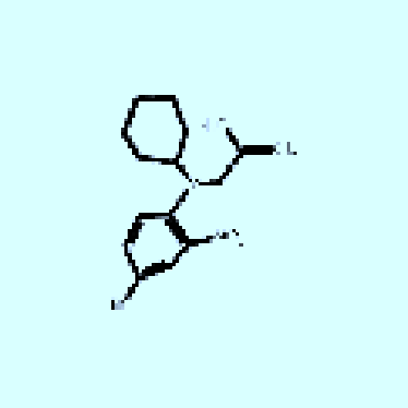 C=C(C)CN(c1ccc(Br)cc1[N+](=O)[O-])C1CCCCC1